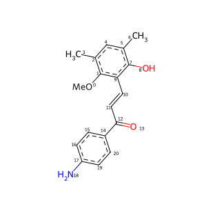 COc1c(C)cc(C)c(O)c1C=CC(=O)c1ccc(N)cc1